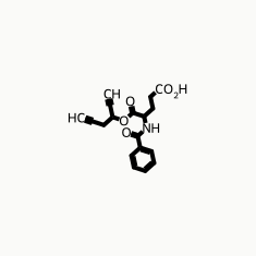 C#CCC(C#C)OC(=O)C(CCC(=O)O)NC(=O)c1ccccc1